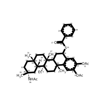 CC[C@@]12CC[C@@]3(C)c4cc(OC(C)=O)c(OC(C)=O)cc4C(SC(=O)c4ccccc4)CC3[C@@]1(C)CC[C@@]1(C)CC[C@@](C)(NC(C)=O)C[C@H]12